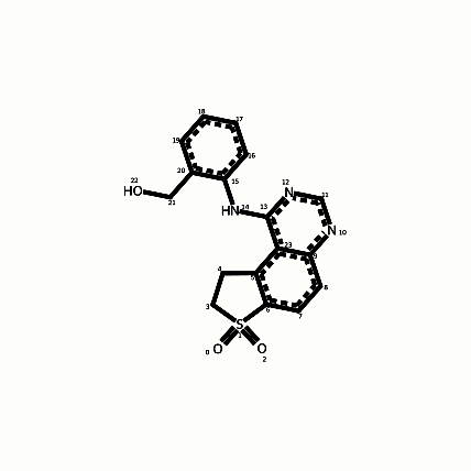 O=S1(=O)CCc2c1ccc1ncnc(Nc3ccccc3CO)c21